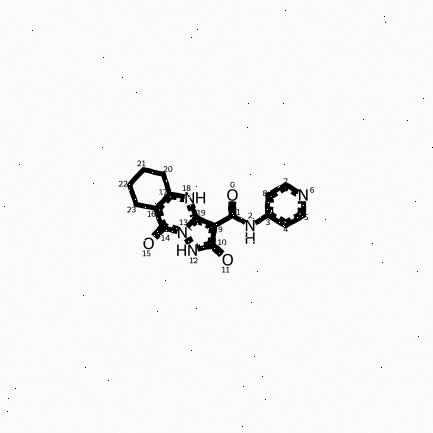 O=C(Nc1ccncc1)c1c(=O)[nH]n2c(=O)c3c([nH]c12)CCCC3